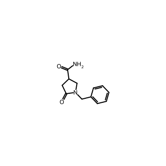 NC(=O)C1CC(=O)N(Cc2ccccc2)C1